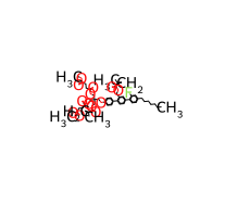 C=C(C)C(=O)OCc1cc(-c2ccc(CCCCCCC)cc2F)ccc1-c1ccc(OCC(COC(=O)CCC(=O)OC)(COC(=O)CCC(=O)OC)COC(=O)C(=C)C)cc1